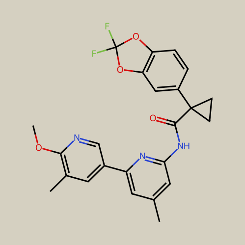 COc1ncc(-c2cc(C)cc(NC(=O)C3(c4ccc5c(c4)OC(F)(F)O5)CC3)n2)cc1C